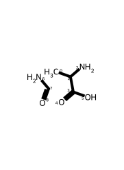 CC(N)C(=O)O.NC=O